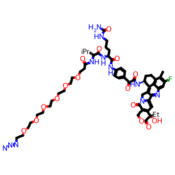 CC[C@@]1(O)C(=O)OCc2c1cc1n(c2=O)Cc2c-1nc1cc(F)c(C)c3c1c2[C@@H](NC(=O)C(=O)c1ccc(NC(=O)C(CCCNC(N)=O)NC(=O)C(NC(=O)CCOCCOCCOCCOCCOCCOCCN=[N+]=[N-])C(C)C)cc1)CC3